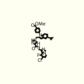 COC(=O)c1ccc(-n2c(Cn3cc(C(=O)NCc4ncn5ccc(Cl)c(F)c45)nn3)cc3cc(C4CC4)ccc32)cc1